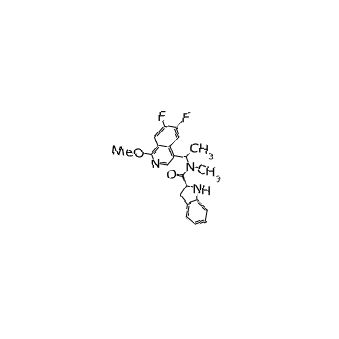 COc1ncc(C(C)N(C)C(=O)[C@@H]2Cc3ccccc3N2)c2cc(F)c(F)cc12